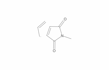 CN1C(=O)C=CC1=O.[CH2]C=C